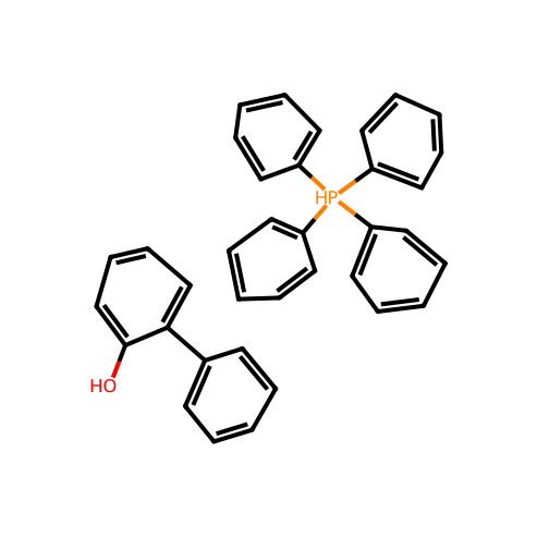 Oc1ccccc1-c1ccccc1.c1ccc([PH](c2ccccc2)(c2ccccc2)c2ccccc2)cc1